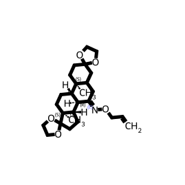 C=CCO/N=C1\CC2CC3(CC[C@]2(C)[C@H]2CC[C@@]4(C)[C@@H](CCC45OCCO5)[C@H]12)OCCO3